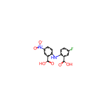 O=C(O)c1cc(F)ccc1Nc1ccc([N+](=O)[O-])cc1C(=O)O